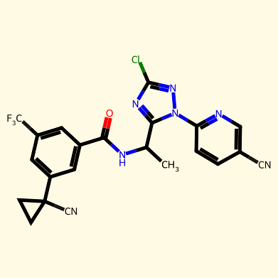 CC(NC(=O)c1cc(C(F)(F)F)cc(C2(C#N)CC2)c1)c1nc(Cl)nn1-c1ccc(C#N)cn1